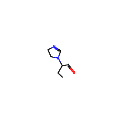 CCC([C]=O)N1C=NCC1